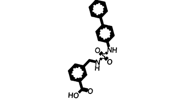 O=C(O)c1cccc(CNS(=O)(=O)Nc2ccc(-c3ccccc3)cc2)c1